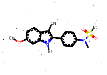 CCOc1ccc2c(C#N)c(-c3ccc(N(C)S(=O)(=O)CC)cc3)n(CC)c2c1